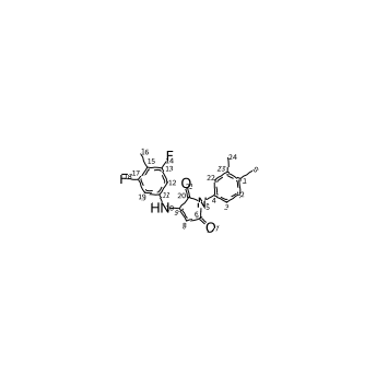 Cc1ccc(N2C(=O)C=C(Nc3cc(F)c(C)c(F)c3)C2=O)cc1C